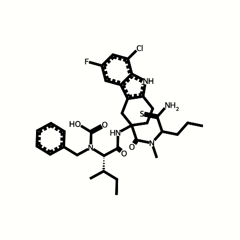 CCCC(C(N)=S)N(C)C(=O)C1(NC(=O)[C@H](C(C)CC)N(Cc2ccccc2)C(=O)O)CCc2[nH]c3c(Cl)cc(F)cc3c2C1